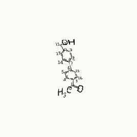 CC(=O)c1ccc(-c2ccc(CO)cc2)cc1